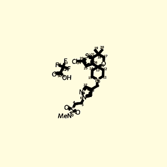 CNS(=O)(=O)CCn1cc(CN2CCC3(CC2)OCC(C)(C)c2sc(Cl)cc23)cn1.O=C(O)C(F)(F)F